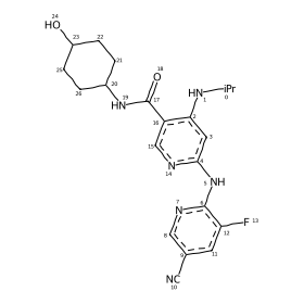 CC(C)Nc1cc(Nc2ncc(C#N)cc2F)ncc1C(=O)NC1CCC(O)CC1